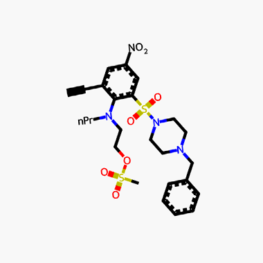 C#Cc1cc([N+](=O)[O-])cc(S(=O)(=O)N2CCN(Cc3ccccc3)CC2)c1N(CCC)CCOS(C)(=O)=O